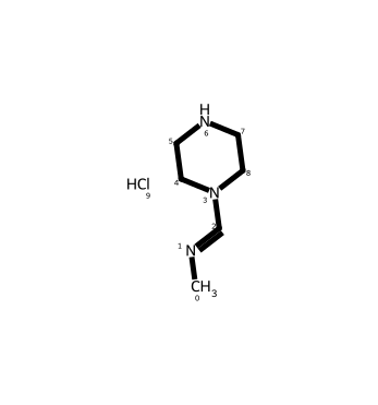 CN=CN1CCNCC1.Cl